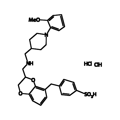 COc1ccccc1N1CCC(CNCC2COc3cccc(Cc4ccc(S(=O)(=O)O)cc4)c3O2)CC1.Cl.Cl